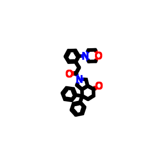 O=C1CCC(c2ccccc2)(c2ccccc2)C2CN(C(=O)Cc3ccccc3N3CCOCC3)CC12